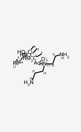 CC(=O)O.CC(=O)O.CC(=O)O.CC(=O)[O-].CC(=O)[O-].NCCNCCN.[Re+2]